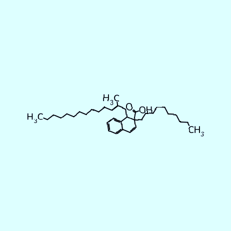 CCCCCCCCCCCCC(C)CC1c2ccccc2C=CC1(CCCCCCCCCC)C(=O)O